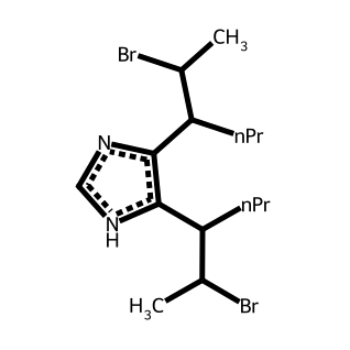 CCCC(c1nc[nH]c1C(CCC)C(C)Br)C(C)Br